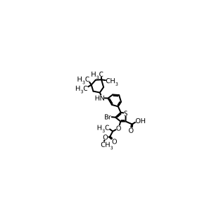 COC(=O)C(C)Oc1c(C(=O)O)sc(-c2cccc(NC3CC(C)(C)CC(C)(C)C3)c2)c1Br